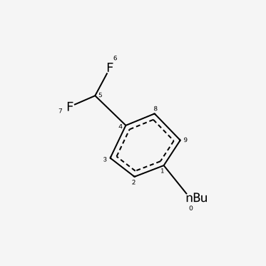 CCCCc1ccc(C(F)F)cc1